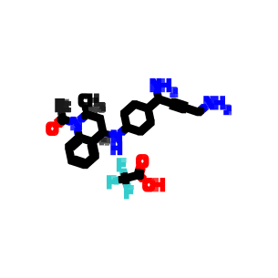 CCC(=O)N1c2ccccc2[C@H](NC2CCC(C(N)C#CCN)CC2)C[C@@H]1C.O=C(O)C(F)(F)F